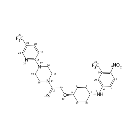 O=[N+]([O-])c1ccc(N[C@H]2CC[C@H](OCC(=S)N3CCN(c4ccc(C(F)(F)F)cn4)CC3)CC2)cc1C(F)(F)F